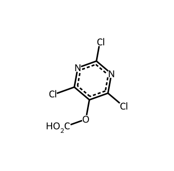 O=C(O)Oc1c(Cl)nc(Cl)nc1Cl